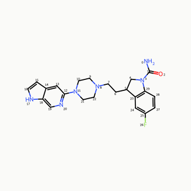 NC(=O)N1CC(CCN2CCN(c3cc4cc[nH]c4cn3)CC2)c2cc(F)ccc21